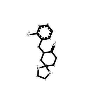 O=C1CCC2(CC1Cc1ccccc1Br)OCCO2